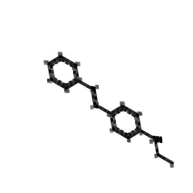 CCNc1ccc(N=Nc2ccccc2)cc1